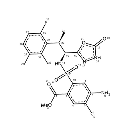 COC(=O)c1cc(Cl)c(N)cc1S(=O)(=O)N[C@H](c1n[nH]c(=O)o1)[C@H](C)c1c(F)ccc(C)c1C